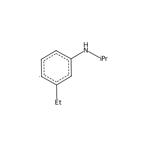 CCc1[c]ccc(NC(C)C)c1